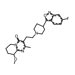 COC1CCCn2c1nc(C)c(CCN1CCC(c3onc4cc(F)ccc34)CC1)c2=O